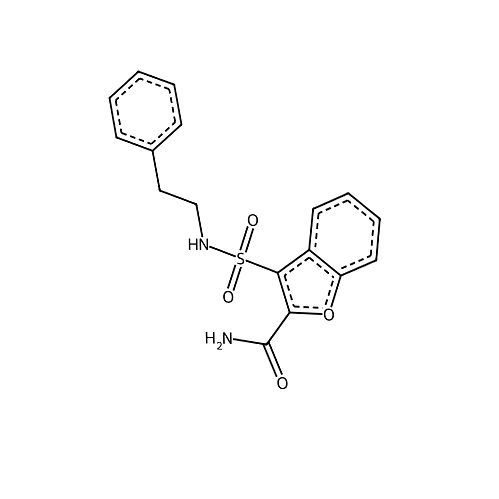 NC(=O)c1oc2ccccc2c1S(=O)(=O)NCCc1ccccc1